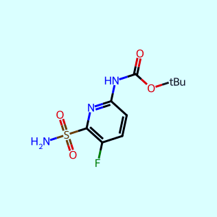 CC(C)(C)OC(=O)Nc1ccc(F)c(S(N)(=O)=O)n1